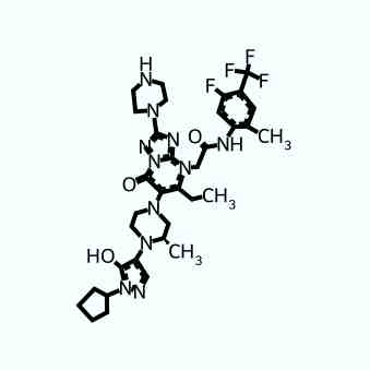 CCc1c(N2CCN(c3cnn(C4CCCC4)c3O)[C@H](C)C2)c(=O)n2nc(N3CCNCC3)nc2n1CC(=O)Nc1cc(F)c(C(F)(F)F)cc1C